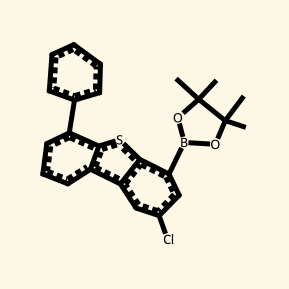 CC1(C)OB(c2cc(Cl)cc3c2sc2c(-c4ccccc4)cccc23)OC1(C)C